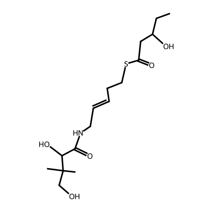 CCC(O)CC(=O)SCC/C=C/CNC(=O)C(O)C(C)(C)CO